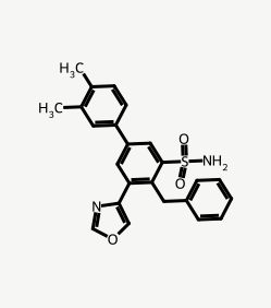 Cc1ccc(-c2cc(-c3cocn3)c(Cc3ccccc3)c(S(N)(=O)=O)c2)cc1C